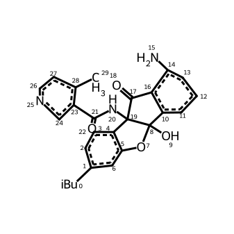 CCC(C)c1ccc2c(c1)OC1(O)c3cccc(N)c3C(=O)C21NC(=O)c1cnccc1C